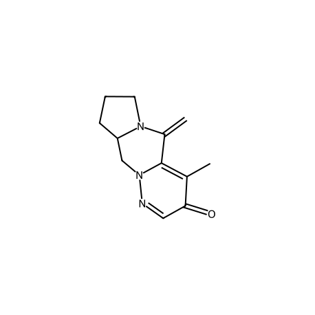 C=C1c2c(C)c(=O)cnn2CC2CCCN12